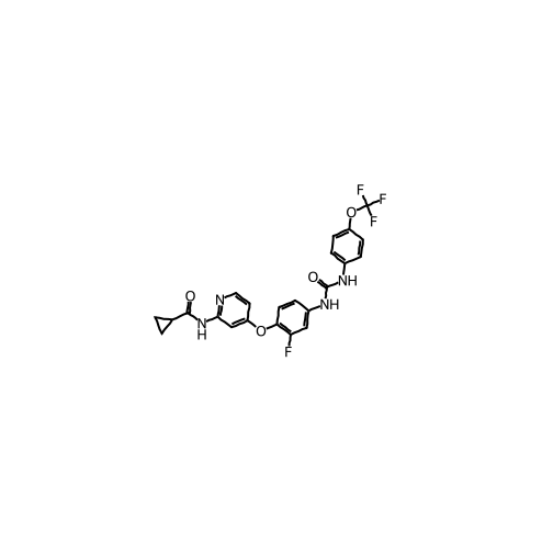 O=C(Nc1ccc(OC(F)(F)F)cc1)Nc1ccc(Oc2ccnc(NC(=O)C3CC3)c2)c(F)c1